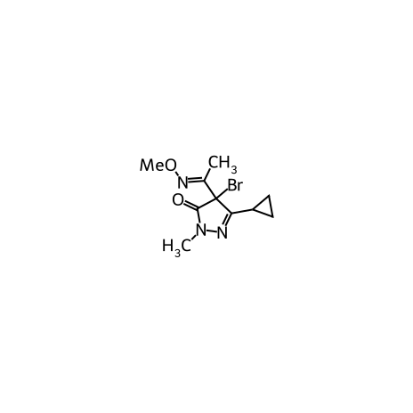 CON=C(C)C1(Br)C(=O)N(C)N=C1C1CC1